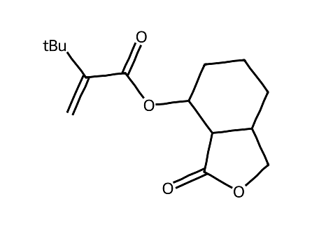 C=C(C(=O)OC1CCCC2COC(=O)C21)C(C)(C)C